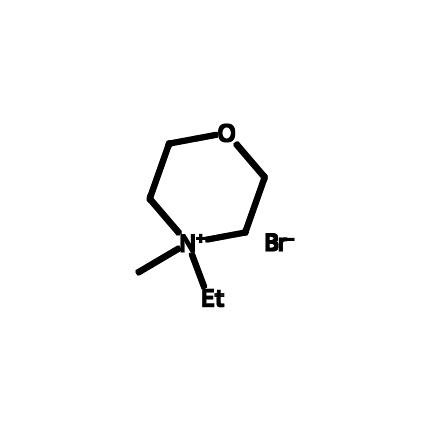 CC[N+]1(C)CCOCC1.[Br-]